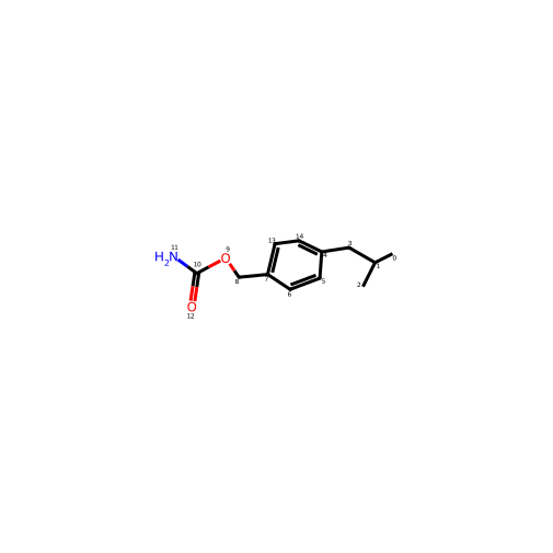 CC(C)Cc1ccc(COC(N)=O)cc1